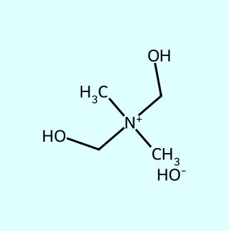 C[N+](C)(CO)CO.[OH-]